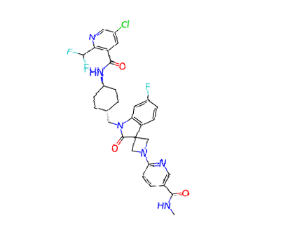 CNC(=O)c1ccc(N2CC3(C2)C(=O)N(C[C@H]2CC[C@H](NC(=O)c4cc(Cl)cnc4C(F)F)CC2)c2cc(F)ccc23)nc1